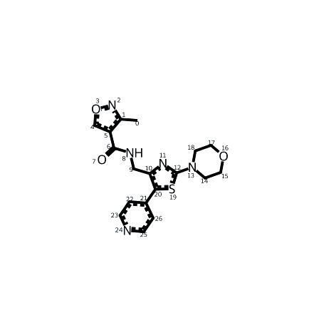 Cc1nocc1C(=O)NCc1nc(N2CCOCC2)sc1-c1ccncc1